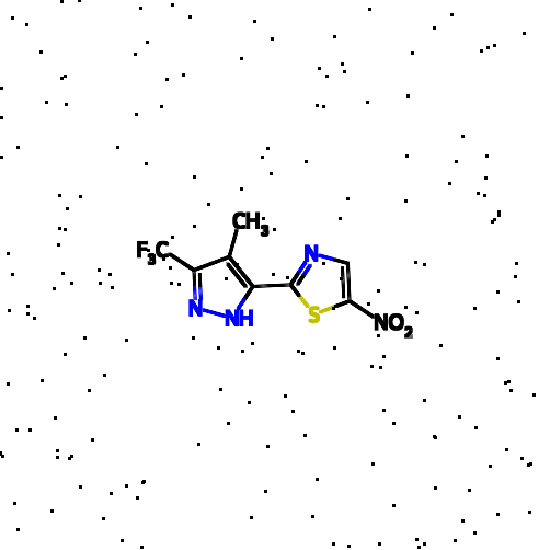 Cc1c(C(F)(F)F)n[nH]c1-c1ncc([N+](=O)[O-])s1